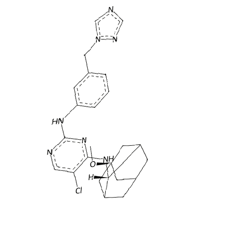 CO[C@]12CC3CC(C1)[C@@H](Nc1nc(Nc4cccc(Cn5cncn5)c4)ncc1Cl)C(C3)C2